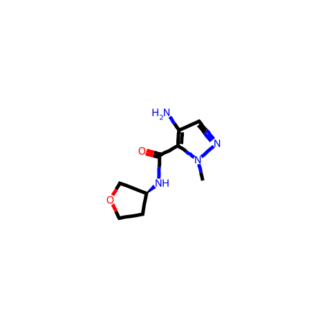 Cn1ncc(N)c1C(=O)N[C@H]1CCOC1